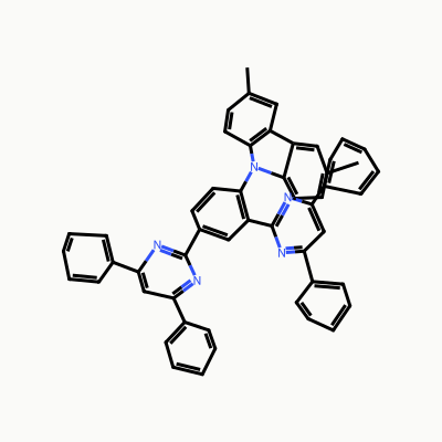 Cc1ccc2c(c1)c1cc(C)ccc1n2-c1ccc(-c2nc(-c3ccccc3)cc(-c3ccccc3)n2)cc1-c1nc(-c2ccccc2)cc(-c2ccccc2)n1